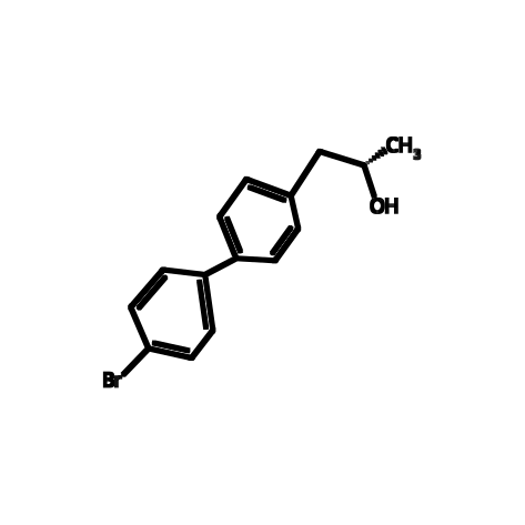 C[C@H](O)Cc1ccc(-c2ccc(Br)cc2)cc1